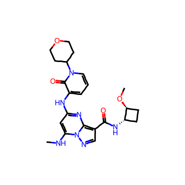 CNc1cc(Nc2cccn(C3CCOCC3)c2=O)nc2c(C(=O)N[C@H]3CC[C@@H]3OC)cnn12